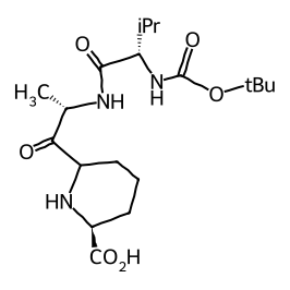 CC(C)[C@H](NC(=O)OC(C)(C)C)C(=O)N[C@@H](C)C(=O)C1CCC[C@@H](C(=O)O)N1